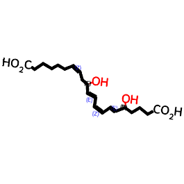 O=C(O)CCCCC/C=C\C[C@H](O)/C=C/C=C\C=C\[C@H](O)CCCC(=O)O